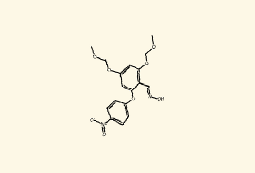 COCOc1cc(OCOC)c(C=NO)c(Oc2ccc([N+](=O)[O-])cc2)c1